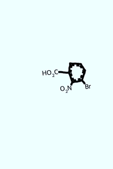 O=C(O)c1cccc(Br)c1[N+](=O)[O-]